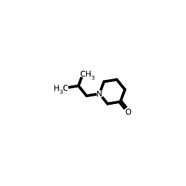 C[C](C)CN1CCCC(=O)C1